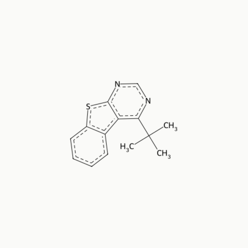 CC(C)(C)c1ncnc2sc3ccccc3c12